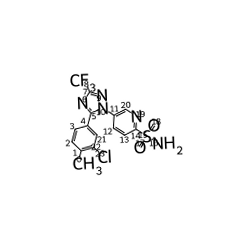 Cc1ccc(-c2nc(C(F)(F)F)nn2-c2ccc(S(N)(=O)=O)nc2)cc1Cl